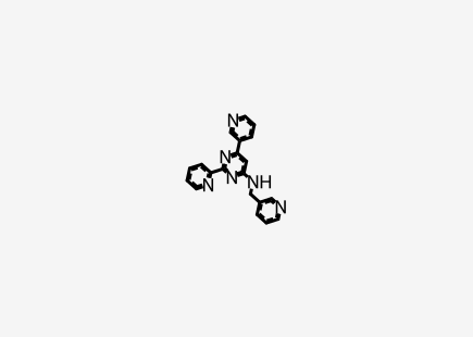 c1ccc(-c2nc(NCc3cccnc3)cc(-c3cccnc3)n2)nc1